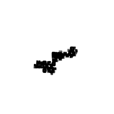 COC=C(C(=O)OC)c1ccccc1C(C)ON=CC(=NOC)c1ccc(CCc2cccc(C(F)(F)F)c2)cc1